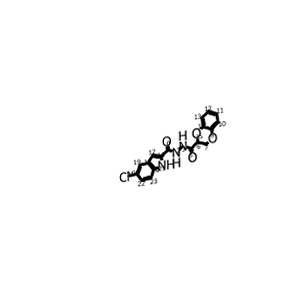 O=C(NNC(=O)C1COc2ccccc2O1)c1cc2cc(Cl)ccc2[nH]1